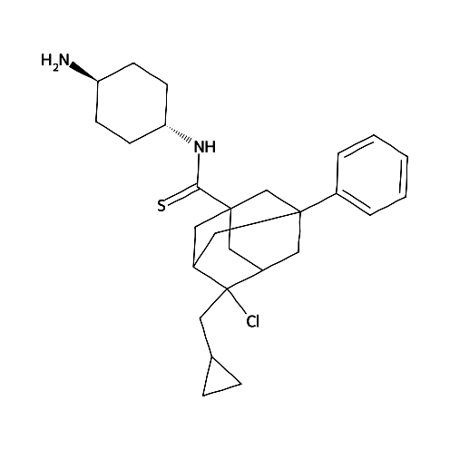 N[C@H]1CC[C@H](NC(=S)C23CC4CC(c5ccccc5)(CC(C2)C4(Cl)CC2CC2)C3)CC1